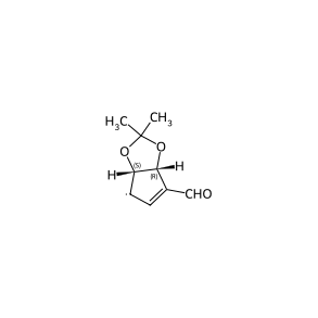 CC1(C)O[C@H]2[CH]C=C(C=O)[C@H]2O1